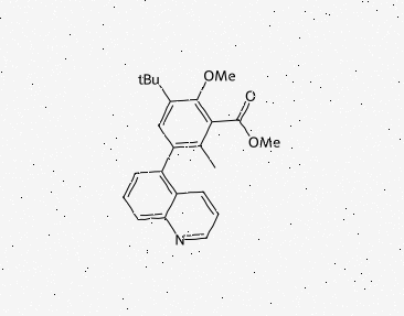 COC(=O)c1c(C)c(-c2cccc3ncccc23)cc(C(C)(C)C)c1OC